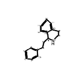 c1ccc(CCC2NCCc3ccccc32)cc1